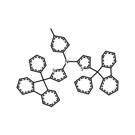 Cc1ccc(N(c2ccc(C3(c4ccccc4)c4ccccc4-c4ccccc43)s2)c2ccc(C3(c4ccccc4)c4ccccc4-c4ccccc43)s2)cc1